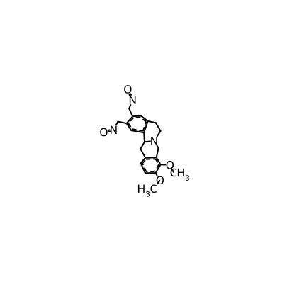 COc1ccc2c(c1OC)CN1CCc3cc(CN=O)c(CN=O)cc3C1C2